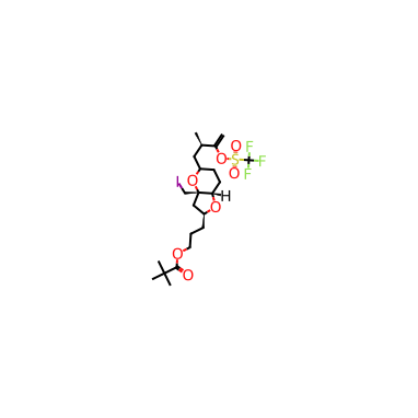 C=C(OS(=O)(=O)C(F)(F)F)[C@H](C)CC1CC[C@@H]2O[C@@H](CCCOC(=O)C(C)(C)C)C[C@]2(CI)O1